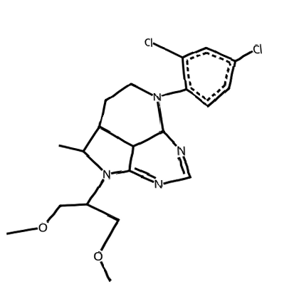 COCC(COC)N1C2=NC=NC3C2C(CCN3c2ccc(Cl)cc2Cl)C1C